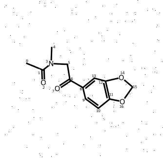 CC(=O)N(C)CC(=O)c1ccc2c(c1)OCO2